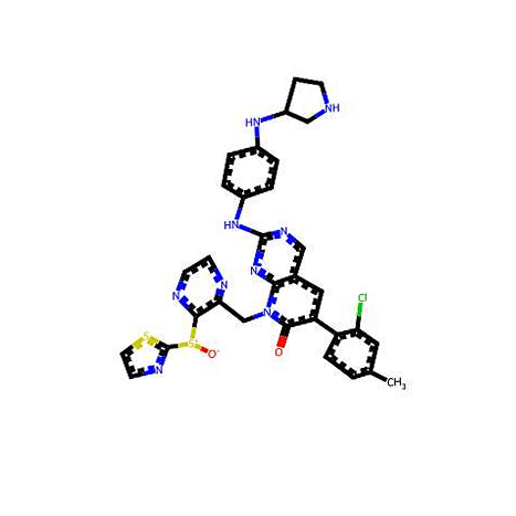 Cc1ccc(-c2cc3cnc(Nc4ccc(NC5CCNC5)cc4)nc3n(Cc3nccnc3[S+]([O-])c3nccs3)c2=O)c(Cl)c1